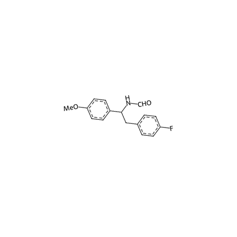 COc1ccc(C(Cc2ccc(F)cc2)NC=O)cc1